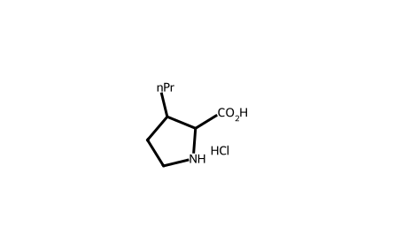 CCCC1CCNC1C(=O)O.Cl